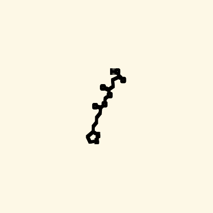 O=C(O)CCC(=O)OCOC(=O)CCCCC1CCSS1